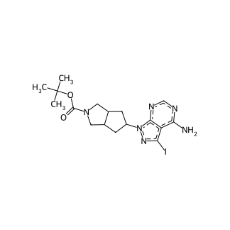 CC(C)(C)OC(=O)N1CC2CC(n3nc(I)c4c(N)ncnc43)CC2C1